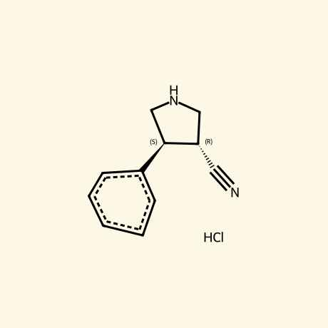 Cl.N#C[C@H]1CNC[C@@H]1c1ccccc1